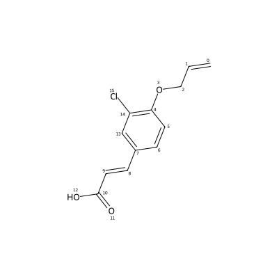 C=CCOc1ccc(C=CC(=O)O)cc1Cl